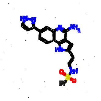 CC(C)S(=O)(=O)NCCc1cc2c(N)nc3cc(-c4cc[nH]n4)ccc3c2[nH]1